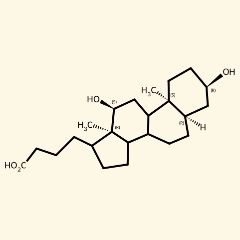 C[C@@]12C(CCCC(=O)O)CCC1C1CC[C@@H]3C[C@H](O)CC[C@]3(C)C1C[C@@H]2O